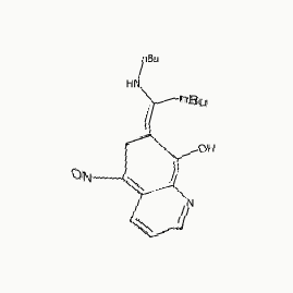 CCCCNC(CCCC)=C1CC(N=O)=c2cccnc2=C1O